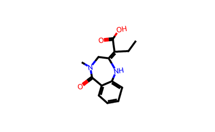 CCC(C(=O)O)=C1CN(C)C(=O)c2ccccc2N1